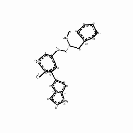 CN[C@@H](COc1cnc(Cl)c(-c2ccc3[nH]ncc3c2)c1)Cc1ccccc1